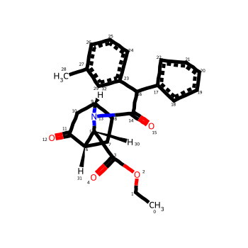 CCOC(=O)[C@@H]1[C@@H]2CC[C@@H](CC2=O)N1C(=O)C(c1ccccc1)c1cccc(C)c1